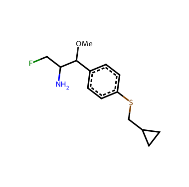 COC(c1ccc(SCC2CC2)cc1)C(N)CF